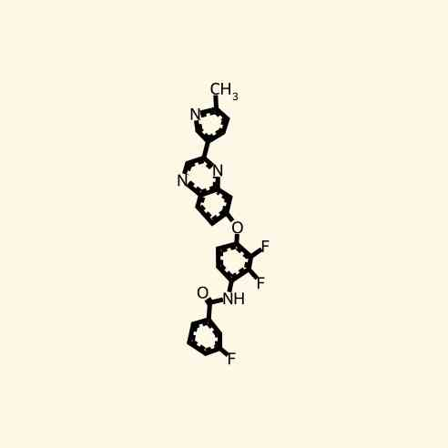 Cc1ccc(-c2cnc3ccc(Oc4ccc(NC(=O)c5cccc(F)c5)c(F)c4F)cc3n2)cn1